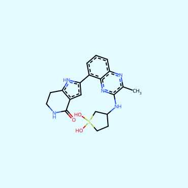 Cc1nc2cccc(-c3cc4c([nH]3)CCNC4=O)c2nc1NC1CCS(O)(O)C1